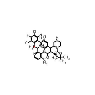 Cc1ccnc(C(C)C)c1-n1c(=O)c(C#N)c(C2CNCCN2C(=O)OC(C)(C)C)c2cc(Cl)c(-c3c(N)c(Cl)c(F)c(Cl)c3F)nc21